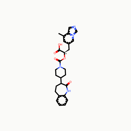 Cc1cc(C[C@@H](OC(=O)N2CCC(C3CCc4ccccc4NC3=O)CC2)C(=O)O)cn2cncc12